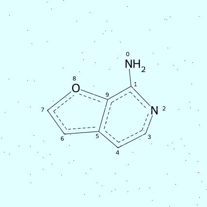 Nc1nccc2ccoc12